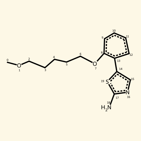 COCCCCCOc1ccccc1-c1cnc(N)s1